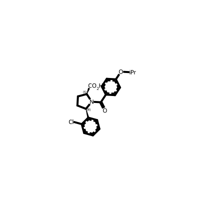 CC(C)Oc1ccc(C(=O)N2[C@@H](c3ccccc3Cl)CC[C@H]2C(=O)O)cc1